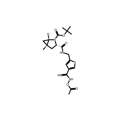 CC(=O)ONC(=N)c1csc(CNC(=O)[C@@H]2C[C@]3(C)C[C@@H]3N2C(=O)OC(C)(C)C)c1